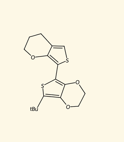 CC(C)(C)c1sc(-c2scc3c2OCCC3)c2c1OCCO2